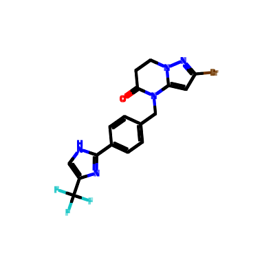 O=C1CCn2nc(Br)cc2N1Cc1ccc(-c2nc(C(F)(F)F)c[nH]2)cc1